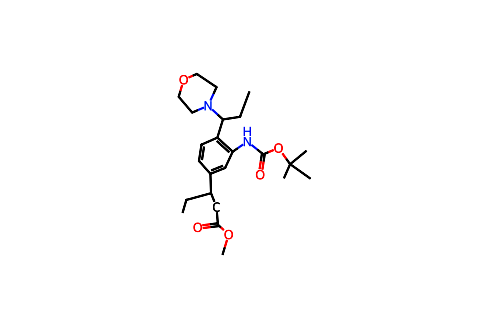 CCC(CC(=O)OC)c1ccc(C(CC)N2CCOCC2)c(NC(=O)OC(C)(C)C)c1